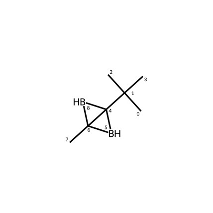 CC(C)(C)C12BC1(C)B2